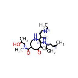 C=C/C(=C\C=C/C)N/C1=C(\C(/C=C\N=C/C)CC)NCCC(C(=O)N(C)CC(C)O)CC(=O)C1=C